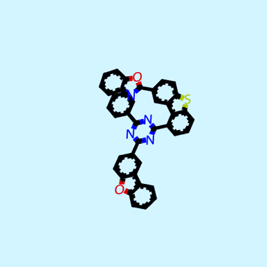 c1ccc(-c2nc(-c3ccc4oc5ccccc5c4c3)nc(-c3cccc4sc5ccc(-c6nc7ccccc7o6)cc5c34)n2)cc1